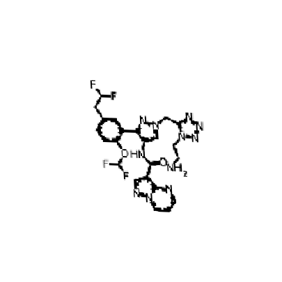 NCCn1nnnc1Cn1cc(NC(=O)c2cnn3cccnc23)c(-c2cc(CC(F)F)ccc2OC(F)F)n1